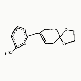 Oc1cccc(C2=CCC3(CC2)OCCO3)n1